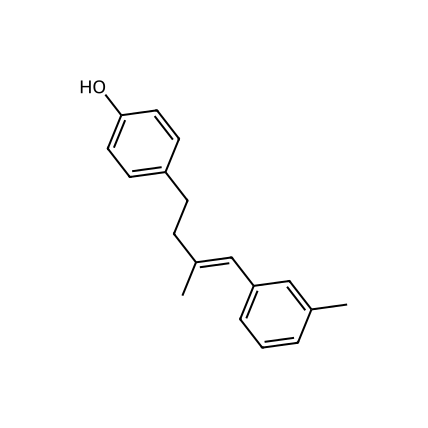 C/C(=C\c1cccc(C)c1)CCc1ccc(O)cc1